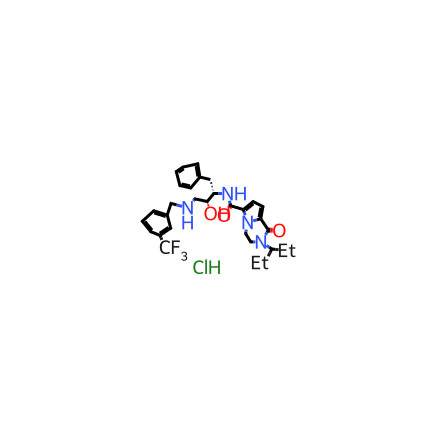 CCC(CC)N1CCn2c(C(=O)N[C@@H](Cc3ccccc3)[C@H](O)CNCc3cccc(C(F)(F)F)c3)ccc2C1=O.Cl